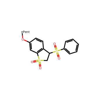 CCCCCOc1ccc2c(c1)S(=O)(=O)CC2S(=O)(=O)c1ccccc1